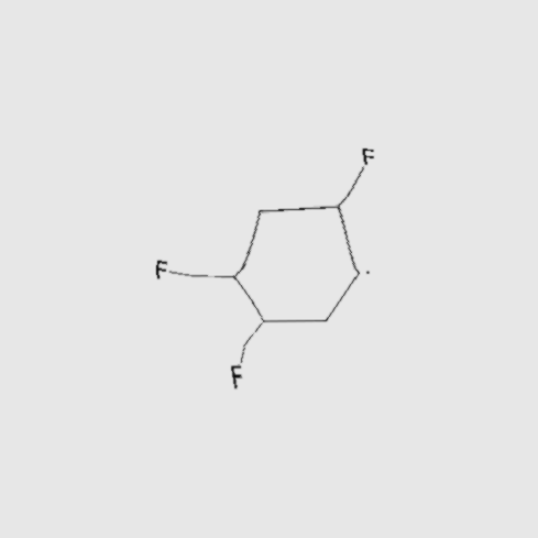 FC1[CH]CC(F)C(F)C1